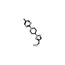 Cc1cnc(N2CCC(n3ncc(CO)n3)CC2)nc1